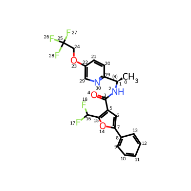 C[C@@H](NC(=O)c1cc(-c2ccccc2)oc1C(F)F)c1ccc(OCC(F)(F)F)cn1